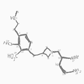 CBCCc1ccc(CC2CN(CC(/C=C\N)NC)C2)c(C(=O)O)c1O